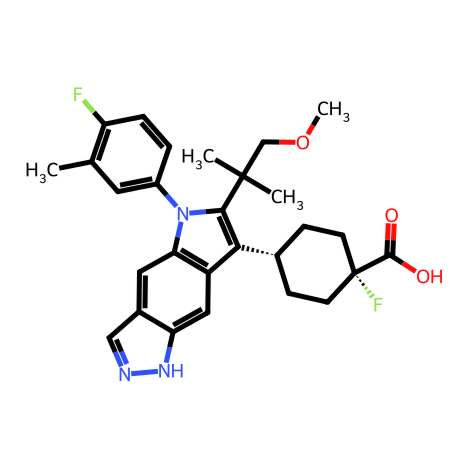 COCC(C)(C)c1c([C@H]2CC[C@](F)(C(=O)O)CC2)c2cc3[nH]ncc3cc2n1-c1ccc(F)c(C)c1